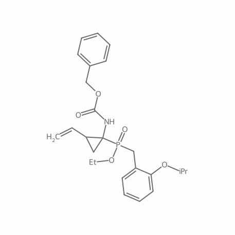 C=CC1CC1(NC(=O)OCc1ccccc1)P(=O)(Cc1ccccc1OC(C)C)OCC